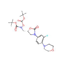 CC(C)(C)OC(=O)ON(C[C@H]1CN(c2ccc(N3CCOCC3)c(F)c2)C(=O)O1)C(=O)OC(C)(C)C